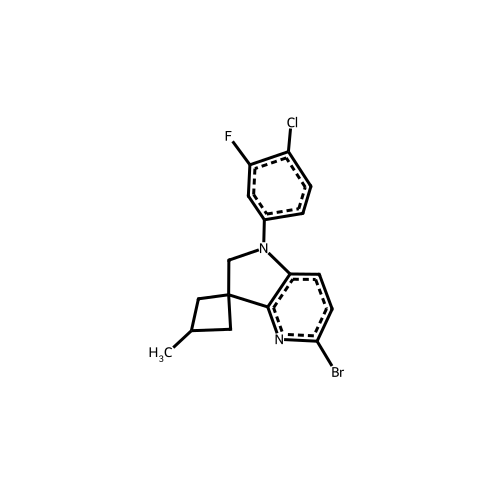 CC1CC2(C1)CN(c1ccc(Cl)c(F)c1)c1ccc(Br)nc12